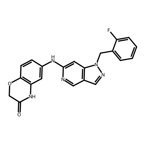 O=C1COc2ccc(Nc3cc4c(cn3)cnn4Cc3ccccc3F)cc2N1